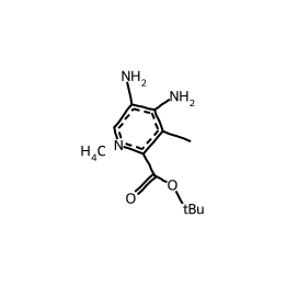 C.Cc1c(C(=O)OC(C)(C)C)ncc(N)c1N